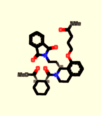 CNC(=O)CCCOc1cccc2c1[C@@H](CCN1C(=O)c3ccccc3C1=O)N(C(=O)[C@@H]1CCCC[C@@H]1C(=O)OC)CC2